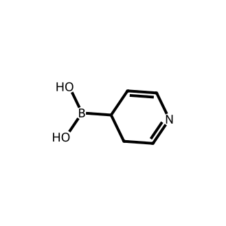 OB(O)C1C=CN=CC1